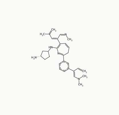 C=C/C(=C\N(C)C)c1cccc(C2=NC(NC3CC[C@H](N)C3)=C(C(/C=N\C)=C/C(=C)C)C=CC2)c1